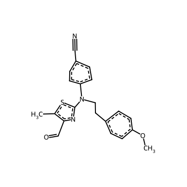 COc1ccc(CCN(c2ccc(C#N)cc2)c2nc(C=O)c(C)s2)cc1